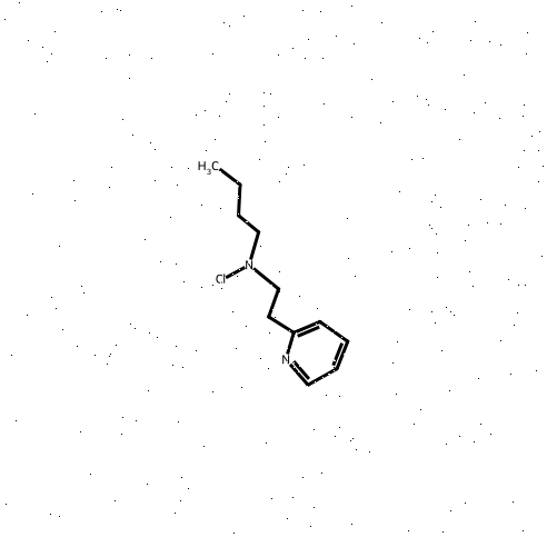 CCCCN(Cl)CCc1ccccn1